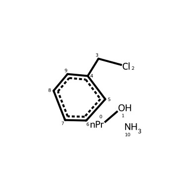 CCCO.ClCc1ccccc1.N